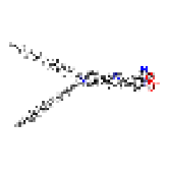 CCCCCCCCCCCCCCCCCCN(CCCCCCCCCCCCCCCCCC)c1ccc(C=Cc2ccc(C=Cc3ccc([N+](=O)[O-])c(C#N)c3)nc2)cc1